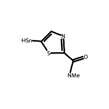 CNC(=O)c1nc[c]([SnH])s1